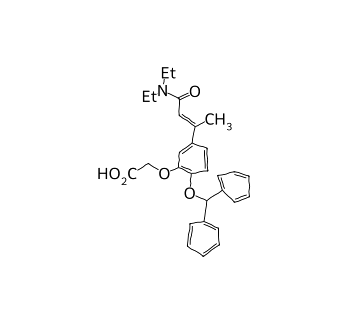 CCN(CC)C(=O)C=C(C)c1ccc(OC(c2ccccc2)c2ccccc2)c(OCC(=O)O)c1